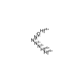 [Hf+4].[Hf+4].[Hf+4].[N-3].[N-3].[N-3].[N-3].[O]